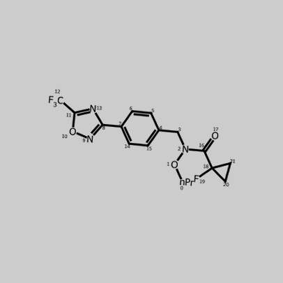 CCCON(Cc1ccc(-c2noc(C(F)(F)F)n2)cc1)C(=O)C1(F)CC1